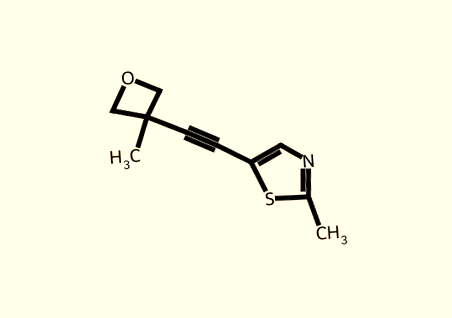 Cc1ncc(C#CC2(C)COC2)s1